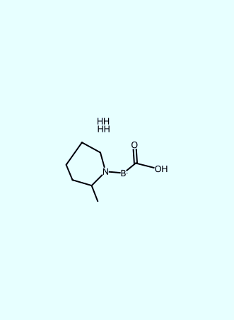 CC1CCCCN1[B]C(=O)O.[HH].[HH]